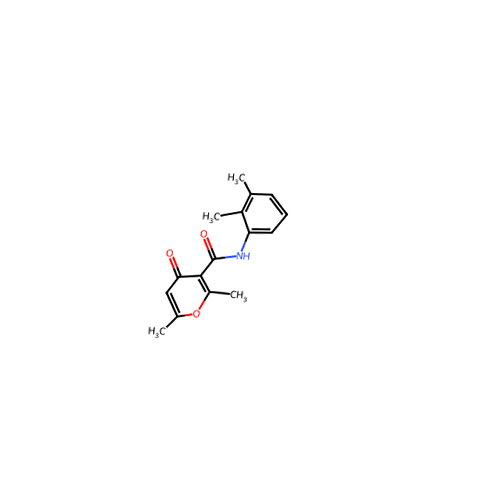 Cc1cc(=O)c(C(=O)Nc2cccc(C)c2C)c(C)o1